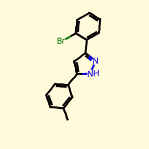 Cc1cccc(-c2cc(-c3ccccc3Br)n[nH]2)c1